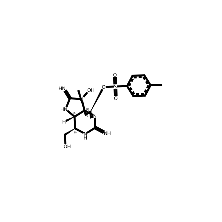 Cc1ccc(S(=O)(=O)O[C@H]2CN3C(=N)N[C@@H](CO)[C@@H]4NC(=N)N(O)C43[C@@H]2C)cc1